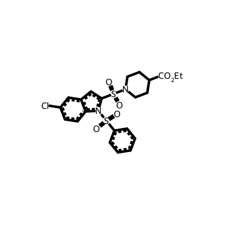 CCOC(=O)C1CCN(S(=O)(=O)c2cc3cc(Cl)ccc3n2S(=O)(=O)c2ccccc2)CC1